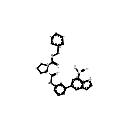 O=C(Nc1cccc(-c2cc([N+](=O)[O-])c3[nH]ccc3c2)c1)[C@@H]1CCCN1C(=O)OCc1ccccc1